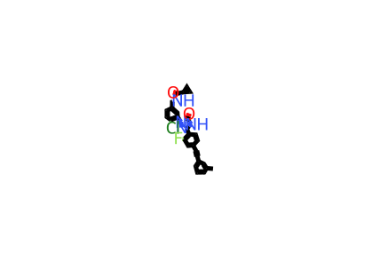 Cc1cccc(C#Cc2ccc(-c3nn(-c4cc(CNC(=O)C5CC5)ccc4Cl)c(=O)[nH]3)c(F)c2)c1